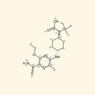 CCOc1nc(N[C@H]2CC[C@H](N(C(=O)O)C(C)(C)C)CC2)c(C)cc1C(N)=O